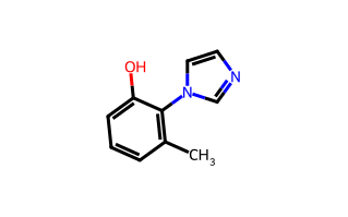 Cc1cccc(O)c1-n1ccnc1